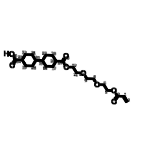 C=CC(=O)OCCOCCOCCOC(=O)C1CCC(C2CCC(C(=O)O)CC2)CC1